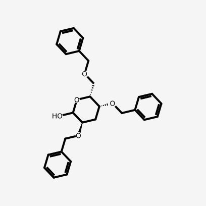 OC1O[C@H](COCc2ccccc2)[C@H](OCc2ccccc2)C[C@H]1OCc1ccccc1